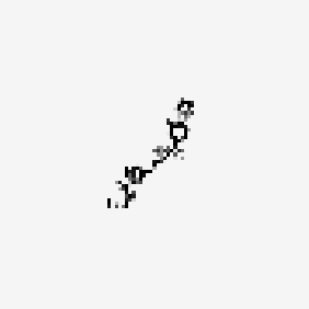 CC(C)(C)OC(=O)n1cc(CCCNC(=O)c2ccc(-n3cccn3)c(I)c2)cn1